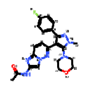 CC(=O)Nc1cn2nc(-c3c(-c4ccc(F)cc4)nn(C)c3N3CCOCC3)ccc2n1